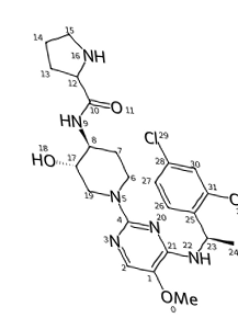 COc1cnc(N2CC[C@H](NC(=O)C3CCCN3)[C@@H](O)C2)nc1N[C@H](C)c1ccc(Cl)cc1Cl